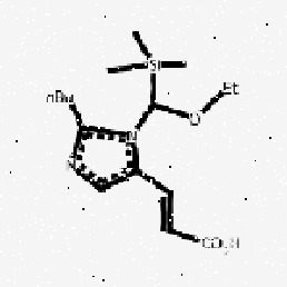 CCCCc1ncc(C=CC(=O)O)n1C(OCC)[Si](C)(C)C